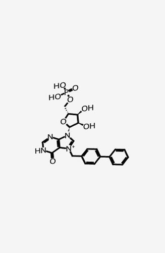 O=c1[nH]cnc2c1[n+](Cc1ccc(-c3ccccc3)cc1)cn2[C@@H]1O[C@H](COP(=O)(O)O)[C@@H](O)[C@H]1O